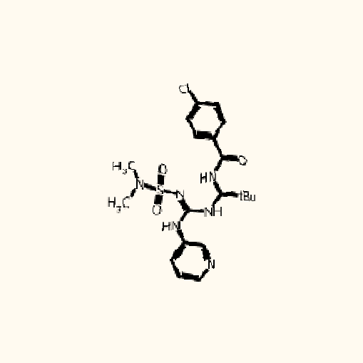 CN(C)S(=O)(=O)/N=C(\Nc1cccnc1)NC(NC(=O)c1ccc(Cl)cc1)C(C)(C)C